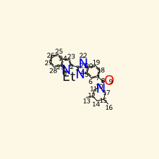 CCn1c(-c2nc3cc(C(=O)N4CC(C)CC(C)C4)ccc3n2C)cc2ccccc21